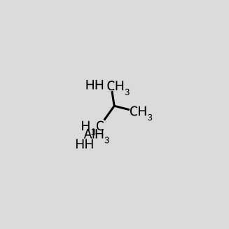 CC(C)C.[AlH3].[HH].[HH]